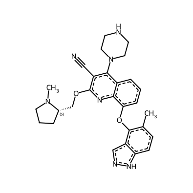 Cc1ccc2[nH]ncc2c1Oc1cccc2c(N3CCNCC3)c(C#N)c(OC[C@@H]3CCCN3C)nc12